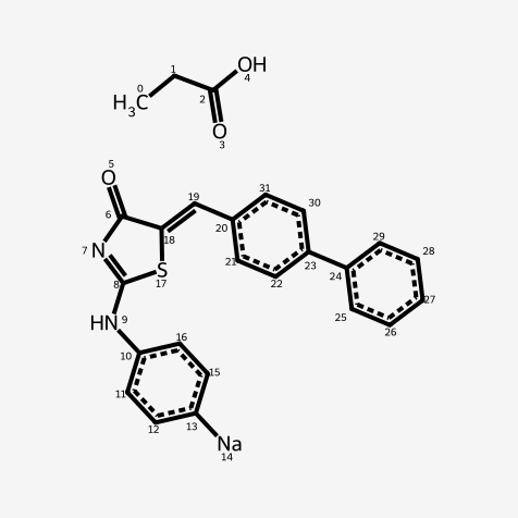 CCC(=O)O.O=C1N=C(Nc2cc[c]([Na])cc2)SC1=Cc1ccc(-c2ccccc2)cc1